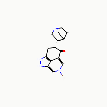 O=C1C2=CN(Br)C=C3NNC(=C32)C[C@@H]1C1CN2CCC1CC2